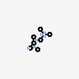 c1ccc(-c2nc(-c3ccccc3)nc(-c3cccc(-n4c5ccccc5c5cc6c7cnccc7n(-c7ccccc7)c6cc54)c3)n2)cc1